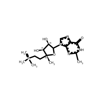 C=P(C)(C)CC[C@@]1(C)OC(n2cnc3c(=O)[nH]c(C)nc32)[C@H](O)[C@@H]1O